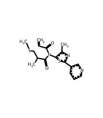 C=CC(=O)N(C(=O)C(C)CSC)c1sc(-c2cccnc2)nc1C